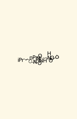 CCCN1C(=O)[C@H](CCCCNC(=O)OCc2ccccc2)NC(=O)C12CCN(CC1CC=C(/C=C/CC(C)C)CC1)CC2